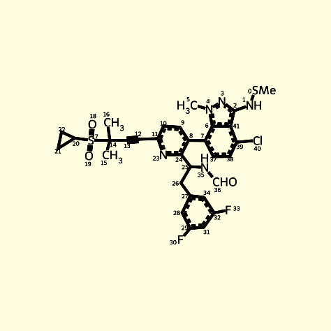 CSNc1nn(C)c2c(-c3ccc(C#CC(C)(C)S(=O)(=O)C4CC4)nc3C(Cc3cc(F)cc(F)c3)NC=O)ccc(Cl)c12